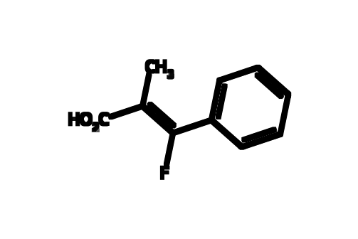 CC(C(=O)O)=C(F)c1ccccc1